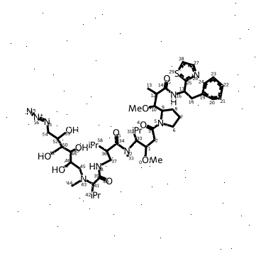 COC(CC(=O)N1CCCC1C(OC)C(C)C(=O)NC(Cc1ccccc1)c1nccs1)C(C(C)C)N(C)C(=O)C(CNC(=O)C(C(C)C)N(C)CC(O)C(O)C(O)C(O)CN=[N+]=[N-])C(C)C